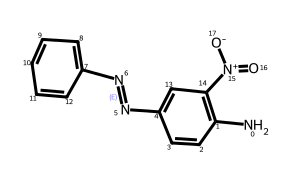 Nc1ccc(/N=N/c2ccccc2)cc1[N+](=O)[O-]